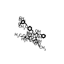 CCOC(=O)N[C@H](C(=O)N[C@@H](Cc1ccccc1)[C@@H](O)CN(Cc1ccc(OCc2ccc(OC)c(OC)c2)cc1)NC(=O)[C@@H](NC(=O)OCC)C(C)C)C(C)C